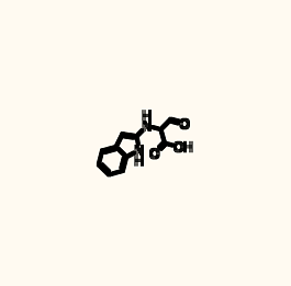 O=CC(Nc1cc2ccccc2[nH]1)C(=O)O